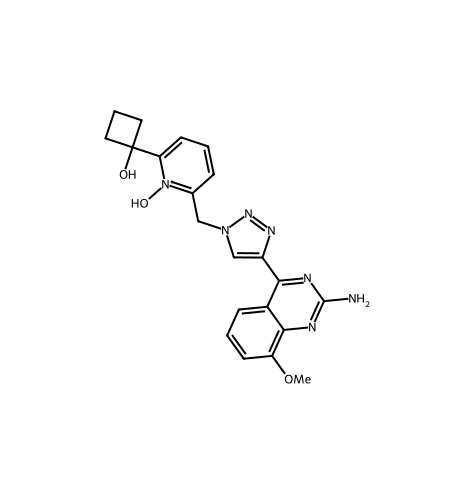 COc1cccc2c(-c3cn(Cc4cccc(C5(O)CCC5)[n+]4O)nn3)nc(N)nc12